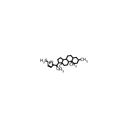 CC1CCC2(C)C(CCC3C2CCC2(C)C(C(=O)c4ccn(C)n4)CCC32)C1